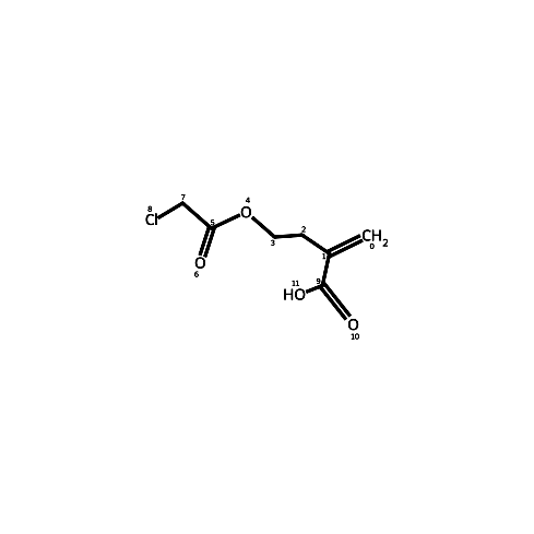 C=C(CCOC(=O)CCl)C(=O)O